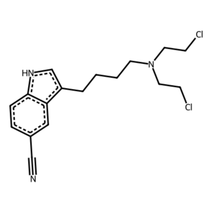 N#Cc1ccc2[nH]cc(CCCCN(CCCl)CCCl)c2c1